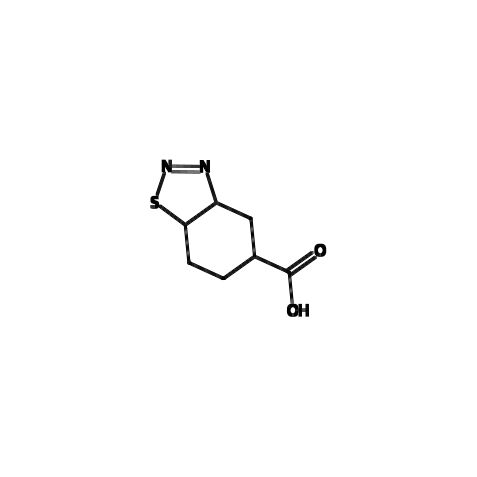 O=C(O)C1CCC2SN=NC2C1